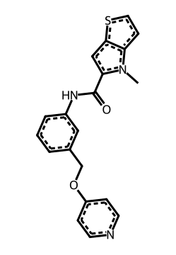 Cn1c(C(=O)Nc2cccc(COc3ccncc3)c2)cc2sccc21